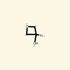 [2H]C1(O)COC1